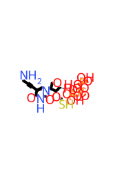 NCC#Cc1cn(C2CO[C@H](COP(=O)(O)OP(=O)(O)OP(=O)(O)O)[C@@H]2OCS)c(=O)[nH]c1=O